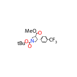 COC(=O)C1CN(C(=O)OC(C)(C)C)C[C@H]1c1ccc(C(F)(F)F)cc1